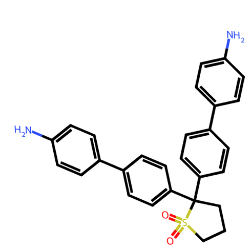 Nc1ccc(-c2ccc(C3(c4ccc(-c5ccc(N)cc5)cc4)CCCS3(=O)=O)cc2)cc1